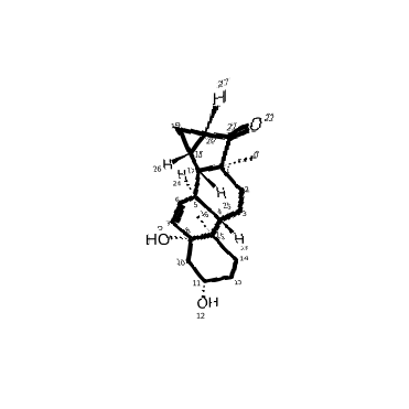 C[C@]12CC[C@H]3[C@@H](C=C[C@]4(O)C[C@@H](O)CC[C@]34C)[C@@H]1[C@@H]1C[C@@H]1C2=O